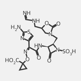 N=CNCC1CN(C[C@@H]2[C@H](NC(=O)/C(=N\OC3(C(=O)O)CC3)c3csc(N)n3)C(=O)N2S(=O)(=O)O)C(=O)O1